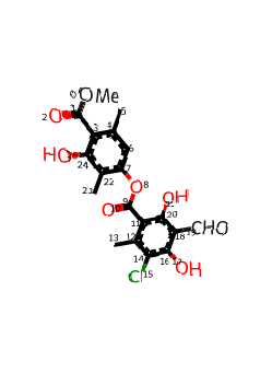 COC(=O)c1c(C)cc(OC(=O)c2c(C)c(Cl)c(O)c(C=O)c2O)c(C)c1O